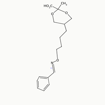 CC1(C(=O)O)OCC(CCCCO/N=C/c2ccccc2)CO1